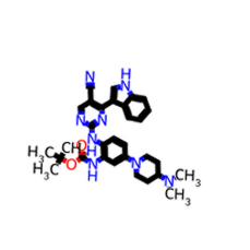 CN(C)C1CCN(c2ccc(Nc3ncc(C#N)c(-c4c[nH]c5ccccc45)n3)c(NC(=O)OC(C)(C)C)c2)CC1